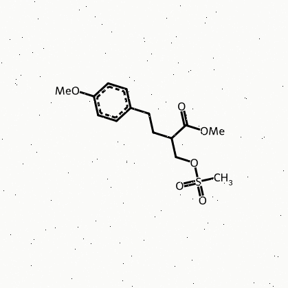 COC(=O)C(CCc1ccc(OC)cc1)COS(C)(=O)=O